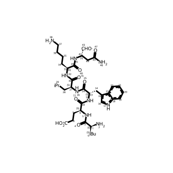 CC[C@H](C)[C@H](N)C(=O)N[C@@H](CCC(=O)O)C(=O)N[C@@H](Cc1c[nH]c2ccccc12)C(=O)N[C@@H](CC(C)C)C(=O)N[C@@H](CCCCN)C(=O)N[C@H]([C]=O)CC(N)=O